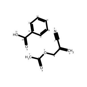 C=C(C#N)COC(C)=O.O=C(O)c1ccccc1